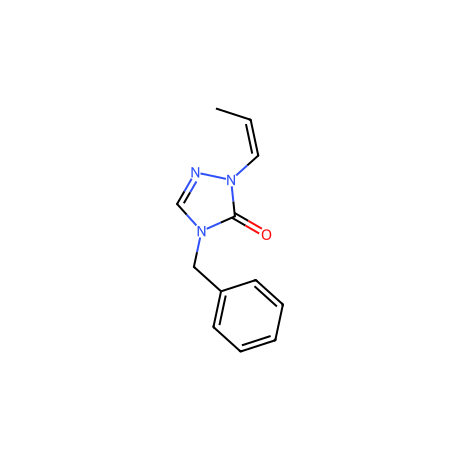 C/C=C\n1ncn(Cc2ccccc2)c1=O